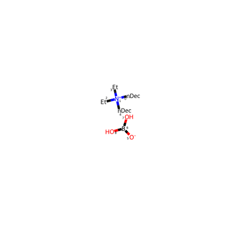 CCCCCCCCCC[N+](CC)(CC)CCCCCCCCCC.[O-]B(O)O